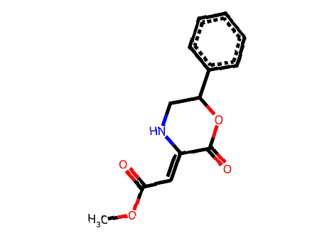 COC(=O)C=C1NCC(c2ccccc2)OC1=O